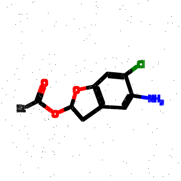 CCC(=O)OC1Cc2cc(N)c(Cl)cc2O1